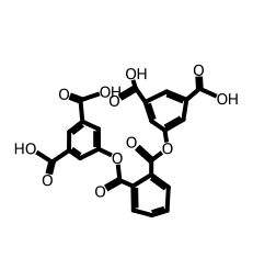 O=C(O)c1cc(OC(=O)c2ccccc2C(=O)Oc2cc(C(=O)O)cc(C(=O)O)c2)cc(C(=O)O)c1